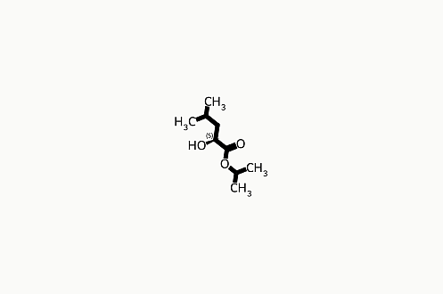 CC(C)C[C@H](O)C(=O)OC(C)C